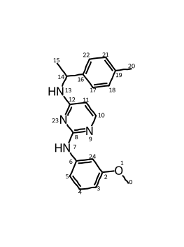 COc1cccc(Nc2nccc(NC(C)c3ccc(C)cc3)n2)c1